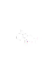 O=C(O)N1[C@H](CO)C[C@@H]2CCCC[C@@H]21